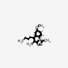 CCCCc1c(N)c2nnc(C)n2c2ccc(OC)cc12